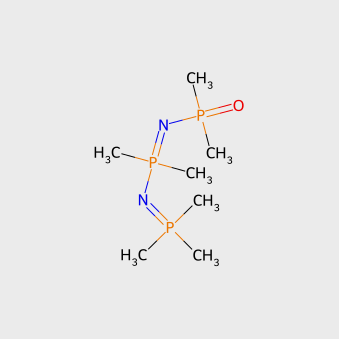 CP(C)(=O)N=P(C)(C)N=P(C)(C)C